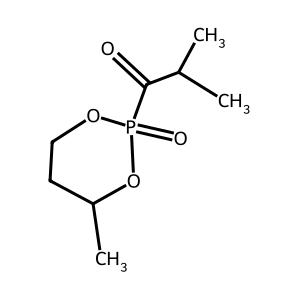 CC1CCOP(=O)(C(=O)C(C)C)O1